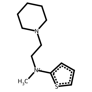 C[N+](CCN1CCCCC1)c1cccs1